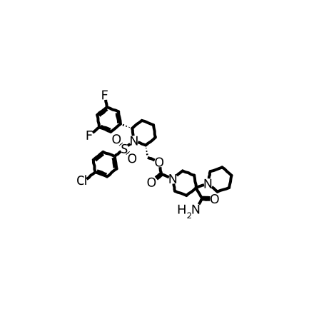 NC(=O)C1(N2CCCCC2)CCN(C(=O)OC[C@H]2CCC[C@@H](c3cc(F)cc(F)c3)N2S(=O)(=O)c2ccc(Cl)cc2)CC1